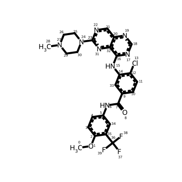 COc1ccc(NC(=O)c2ccc(Cl)c(Nc3ncnc4cnc(N5CCN(C)CC5)nc34)c2)cc1C(F)(F)F